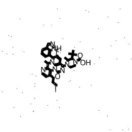 CC(C)c1nccc(CCCI)c1-n1c(=O)nc(N2CCN(C(=O)O)C(C(C)(C)C)C2C)c2cc(F)c(-c3cccc4cn[nH]c34)nc21